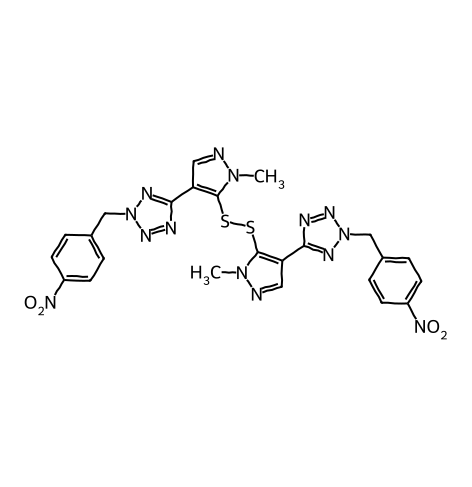 Cn1ncc(-c2nnn(Cc3ccc([N+](=O)[O-])cc3)n2)c1SSc1c(-c2nnn(Cc3ccc([N+](=O)[O-])cc3)n2)cnn1C